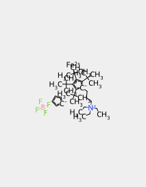 CC[N+](CC)(CC)CCC[c-]1c(C(C)(C)C)c(C(C)(C)C)c(C(C)(C)C)c1C(C)(C)C.F[B-](F)(F)F.[Fe+2].c1cc[cH-]c1